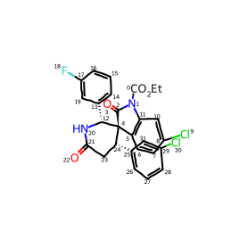 CCOC(=O)N1C(=O)[C@]2(c3ccc(Cl)cc31)[C@@H](c1cccc(F)c1)NC(=O)C[C@H]2c1cccc(Cl)c1